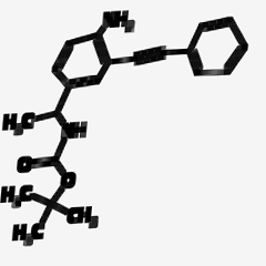 CC(NC(=O)OC(C)(C)C)c1ccc(N)c(C#Cc2ccccc2)c1